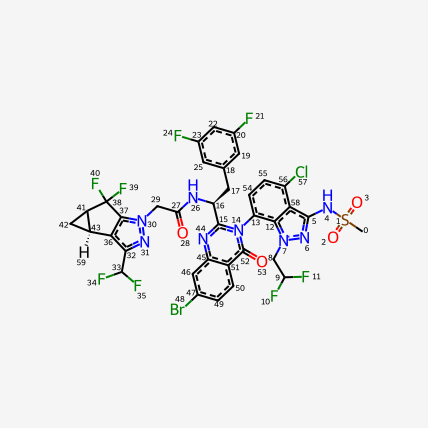 CS(=O)(=O)Nc1nn(CC(F)F)c2c(-n3c([C@H](Cc4cc(F)cc(F)c4)NC(=O)Cn4nc(C(F)F)c5c4C(F)(F)C4C[C@H]54)nc4cc(Br)ccc4c3=O)ccc(Cl)c12